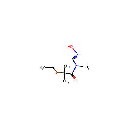 CCSC(C)(C)C(=O)N(C)C=NO